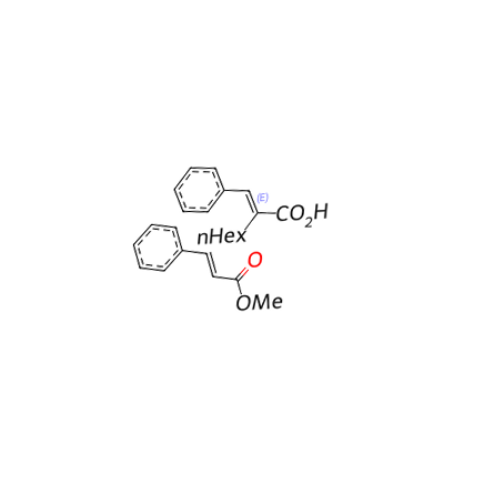 CCCCCC/C(=C\c1ccccc1)C(=O)O.COC(=O)C=Cc1ccccc1